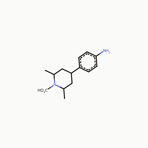 CC1CC(c2ccc(N)cc2)CC(C)N1C(=O)O